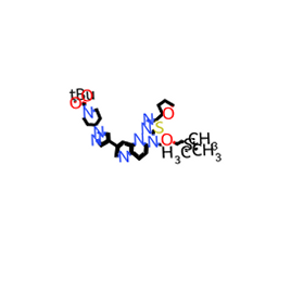 CC(C)(C)OC(=O)N1CCC(n2cc(-c3cnc4ccc(N(COCC[Si](C)(C)C)c5nnc(C6CCCO6)s5)nc4c3)cn2)CC1